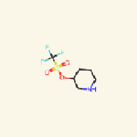 O=S(=O)(OC1CCCNC1)C(F)(F)F